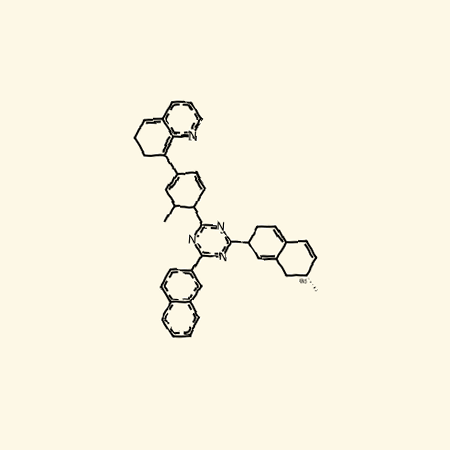 CC1C=C(C2=c3ncccc3=CCC2)C=CC1c1nc(-c2ccc3ccccc3c2)nc(C2C=C3C[C@@H](C)C=CC3=CC2)n1